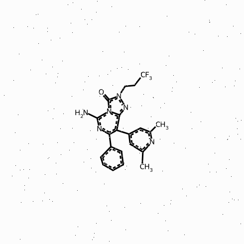 Cc1cc(-c2c(-c3ccccc3)nc(N)n3c(=O)n(CCC(F)(F)F)nc23)cc(C)n1